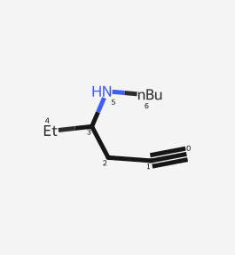 C#CCC(CC)NCCCC